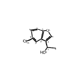 CC(O)c1coc2ccc(Cl)cc12